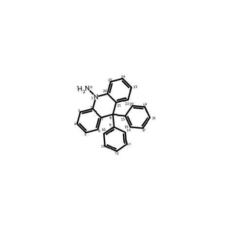 NN1c2ccccc2C(c2ccccc2)(c2ccccc2)c2ccccc21